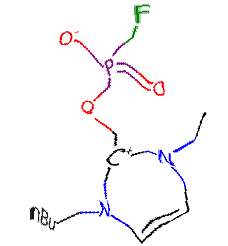 CCCCn1ccn(C)[c+]1OP(=O)([O-])F